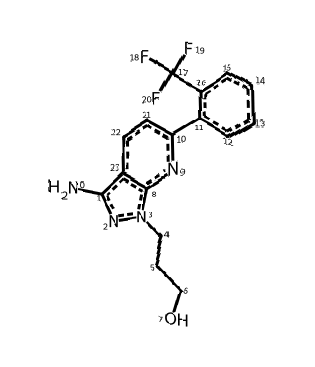 Nc1nn(CCCO)c2nc(-c3ccccc3C(F)(F)F)ccc12